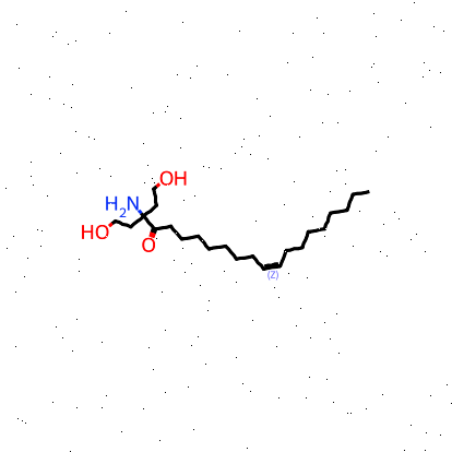 CCCCCCCC/C=C\CCCCCCCC(=O)C(N)(CCO)CCO